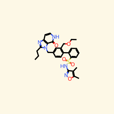 CCCc1nc2cc[nH]c(=O)c2n1Cc1ccc(-c2ccccc2S(=O)(=O)Nc2noc(C)c2C)c(COCC)c1